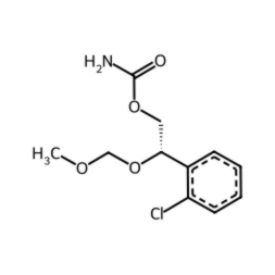 COCO[C@H](COC(N)=O)c1ccccc1Cl